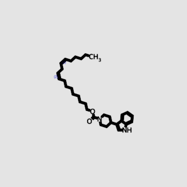 CCCCC/C=C\C/C=C\CCCCCCCCOC(=O)N1CCC(c2c[nH]c3ccccc23)CC1